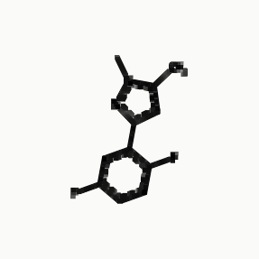 Cn1nc(-c2cc(F)ccc2F)cc1C(F)(F)F